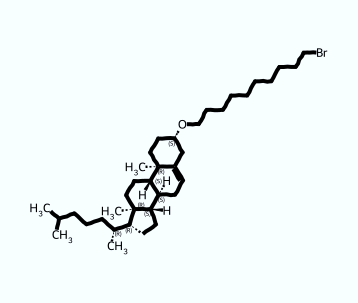 CC(C)CCC[C@@H](C)[C@H]1CC[C@H]2[C@@H]3CC=C4C[C@@H](OCCCCCCCCCCBr)CC[C@]4(C)[C@H]3CC[C@]12C